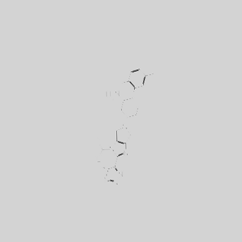 CC(C)n1c(-c2nnnn2C)nc2c1CN([C@H]1CO[C@H](c3cc(F)ccc3F)[C@@H](N)C1)C2